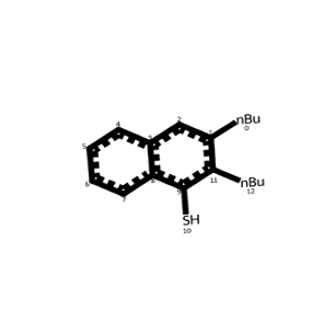 CCCCc1cc2ccccc2c(S)c1CCCC